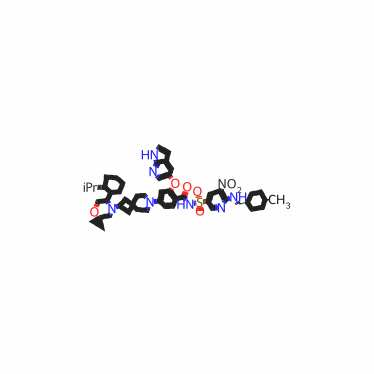 CC(C)C1CCCCC1C1COC2(CC2)CN1C1CC2(CCN(c3ccc(C(=O)NS(=O)(=O)c4cnc(NC[C@H]5CC[C@@H](C)CC5)c([N+](=O)[O-])c4)c(Oc4cnc5[nH]ccc5c4)c3)CC2)C1